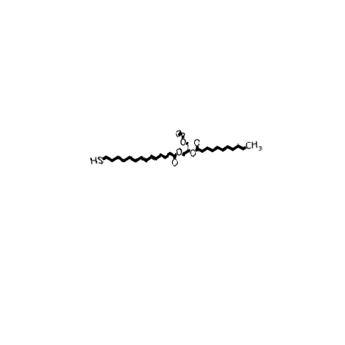 CCCCCCCCCCC(=O)O[C@@H](COP=O)COC(=O)CCCCCCCCCCCCCS